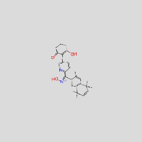 Cc1cc2c(cc1/C(=N/O)c1ccc(C3=C(O)CCCC3=O)cn1)C(C)(C)C=CC2(C)C